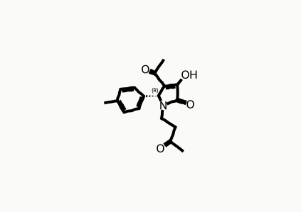 CC(=O)CCN1C(=O)C(O)=C(C(C)=O)[C@H]1c1ccc(C)cc1